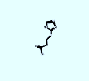 O=C(O)C[CH]Sc1nnc[nH]1